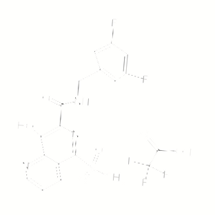 CS(=O)(=O)c1nc(C(=O)NCc2cc(F)cc(F)c2)c(O)c2ncccc12.O=C(O)C(F)(F)F